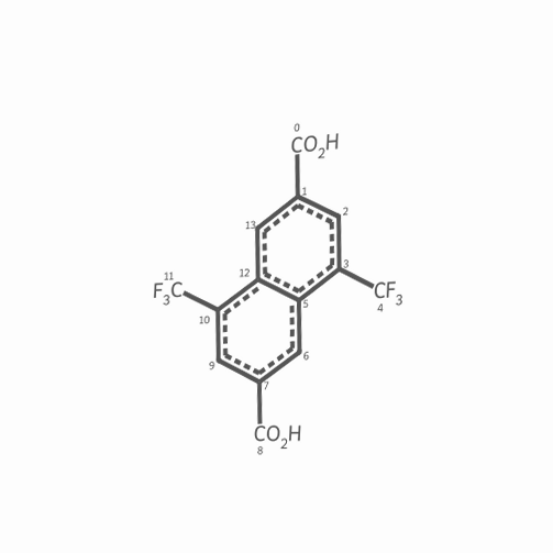 O=C(O)c1cc(C(F)(F)F)c2cc(C(=O)O)cc(C(F)(F)F)c2c1